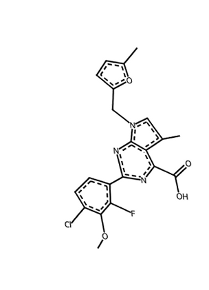 COc1c(Cl)ccc(-c2nc(C(=O)O)c3c(C)cn(Cc4ccc(C)o4)c3n2)c1F